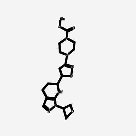 CC(C)(C)OC(=O)N1CCN(C2=NOC(C3CCc4cnn(C5COC5)c4N3)C2)CC1